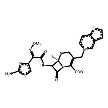 CO/N=C(\C(=O)NC1C(=O)N2C(C(=O)[O-])=C(C[n+]3ccc4sccc4c3)CS[C@H]12)c1csc(N)n1